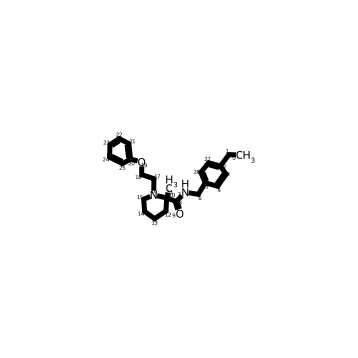 CCc1ccc(CNC(=O)C2(C)CCCCN2CCOc2ccccc2)cc1